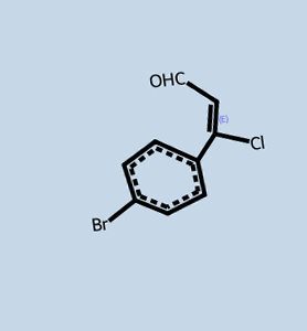 O=C/C=C(/Cl)c1ccc(Br)cc1